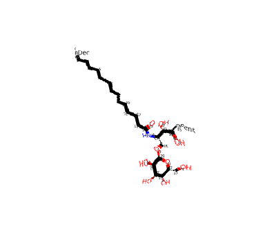 CCCCCCCCCCCCCCCCCCCCCCCC(=O)N[C@@H](CO[C@H]1O[C@H](CO)[C@H](O)[C@H](O)[C@H]1O)[C@H](O)[C@H](O)CCCCC